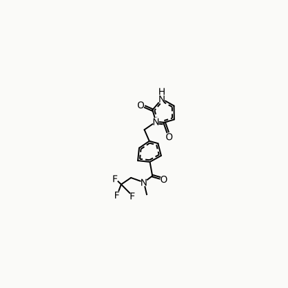 CN(CC(F)(F)F)C(=O)c1ccc(Cn2c(=O)cc[nH]c2=O)cc1